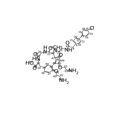 CN(C(=O)CNC(=O)Cc1ccc(-c2ccc(Cl)cc2)cc1)C1C(=O)NCC(=O)NC(C(=O)O)Cc2ccc(OCCN)c(c2)-c2cc1ccc2OCCN